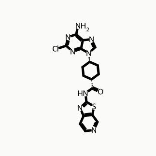 Nc1nc(Cl)nc2c1ncn2[C@H]1CC[C@@H](C(=O)Nc2nc3ccncc3s2)CC1